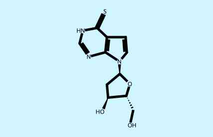 OC[C@H]1O[C@H](n2ccc3c(=S)[nH]cnc32)C[C@@H]1O